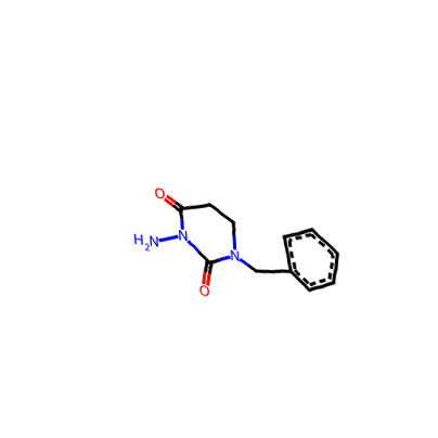 NN1C(=O)CCN(Cc2ccccc2)C1=O